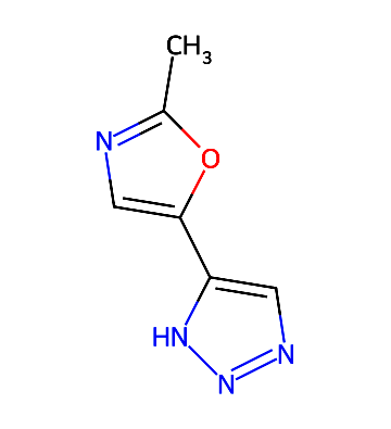 Cc1ncc(-c2cnn[nH]2)o1